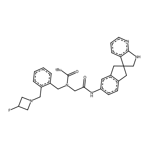 CC(C)(C)C(=O)N(CC(=O)Nc1ccc2c(c1)CC1(CNc3ncccc31)C2)Cc1ccccc1CN1CC(F)C1